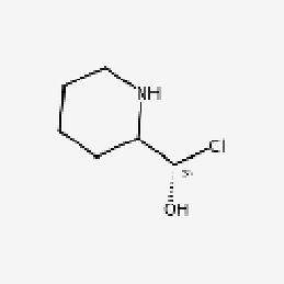 O[C@@H](Cl)C1CCCCN1